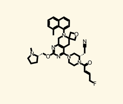 Cc1cccc2cccc(N3Cc4nc(OC[C@@H]5CCCN5C)nc(N5CCN(C(=O)/C=C/CF)[C@@H](CC#N)C5)c4CC34COC4)c12